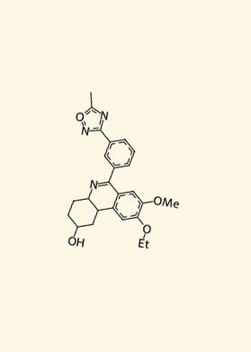 CCOc1cc2c(cc1OC)C(c1cccc(-c3noc(C)n3)c1)=NC1CCC(O)CC21